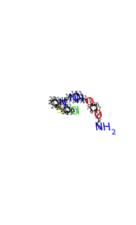 NCCCOc1ccc(OCCN2CCN(CCCN3c4ccccc4Sc4ccc(Cl)cc43)CC2)cc1